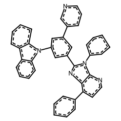 c1ccc(-c2ccnc3c2nc(-c2cc(-c4cccnc4)cc(-n4c5ccccc5c5ccccc54)c2)n3-c2ccccc2)cc1